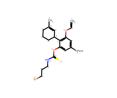 C=COc1cc(CCCCC)cc(OC(=S)NCCCBr)c1C1C=C(C)CCC1